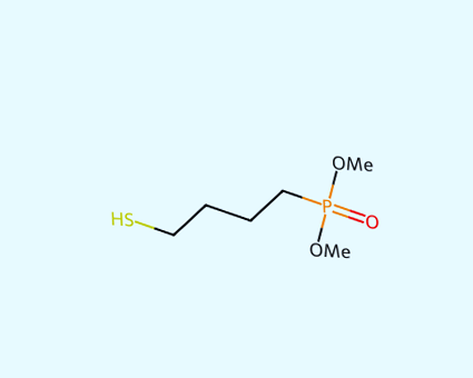 COP(=O)(CCCCS)OC